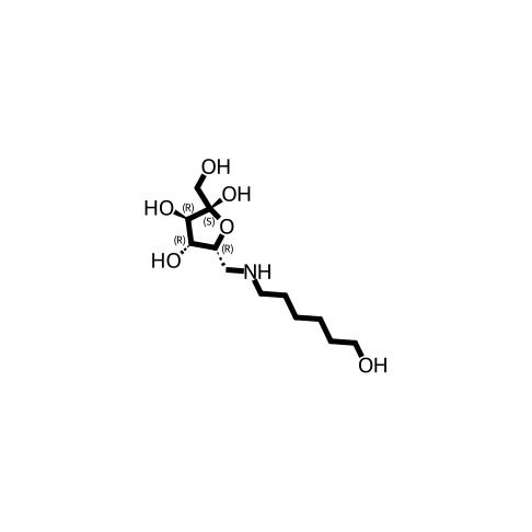 OCCCCCCNC[C@H]1O[C@@](O)(CO)[C@H](O)[C@H]1O